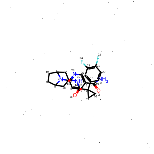 NC(=O)c1ccc(N2C3CCC2CC(NC(=O)C2(c4ccc(F)c(F)c4)CC2)C3)nc1